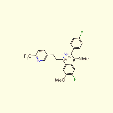 C=C(NC)[C@H](N[C@H](CCc1ccc(C(F)(F)F)nc1)c1ccc(F)c(OC)c1)c1ccc(F)cc1